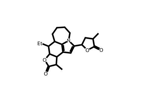 CCC1C2CCCCn3c(C4CC(C)C(=O)O4)cc(c32)C2C(C)C(=O)OC12